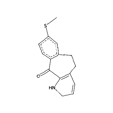 CSc1ccc2c(c1)CCC1=C(NCC=C1)C2=O